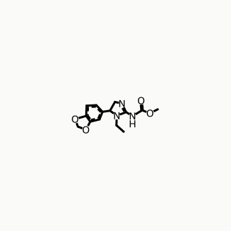 CCN1C(NC(=O)OC)=NCC1c1ccc2c(c1)OCO2